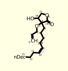 C=CCOC1(CCCC/C=C\CCCCCCCCCCCC)C(=O)OCC1O